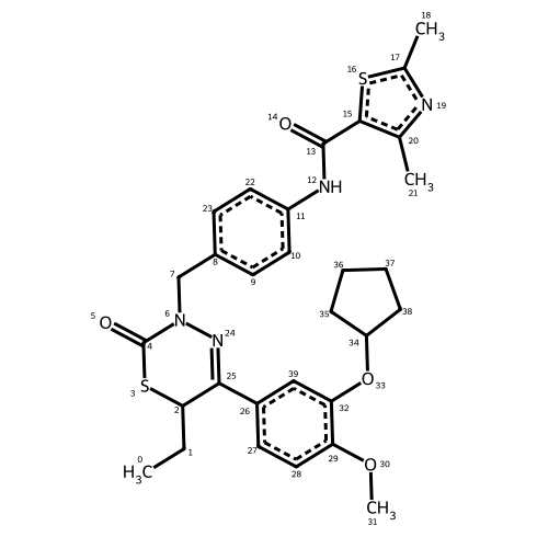 CCC1SC(=O)N(Cc2ccc(NC(=O)c3sc(C)nc3C)cc2)N=C1c1ccc(OC)c(OC2CCCC2)c1